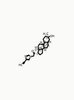 C#Cc1cn(CC(=O)[C@H]2CC[C@H]3[C@@H]4CC[C@@H]5C[C@](C)(O)CC[C@]5(C)[C@H]4CC[C@]23C)cn1